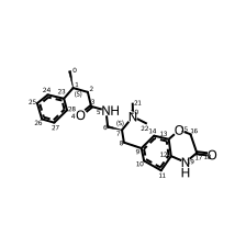 C[C@@H](CC(=O)NC[C@H](Cc1ccc2c(c1)OCC(=O)N2)N(C)C)c1ccccc1